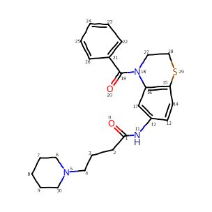 O=C(CCCN1CCCCC1)Nc1ccc2c(c1)N(C(=O)c1ccccc1)CCS2